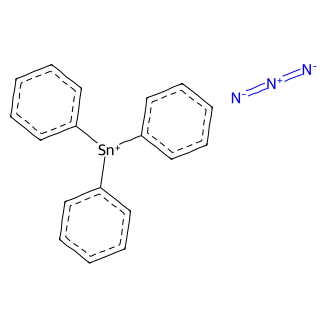 [N-]=[N+]=[N-].c1cc[c]([Sn+]([c]2ccccc2)[c]2ccccc2)cc1